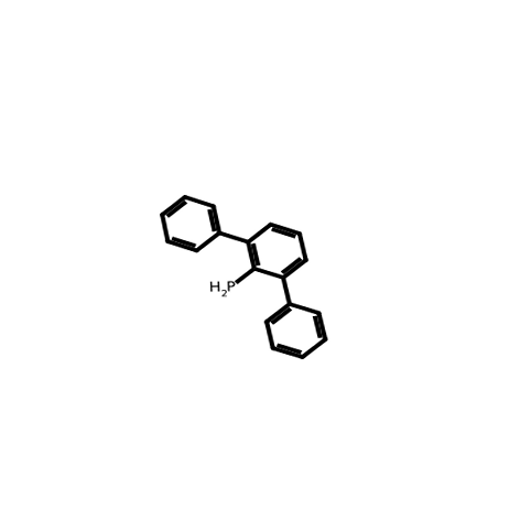 Pc1c(-c2ccccc2)cccc1-c1ccccc1